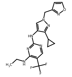 CCNc1nc(Nc2cn(Cc3ccon3)nc2C2CC2)ncc1C(F)(F)F